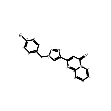 O=c1cc(-c2cn(Cc3ccc(Br)cc3)nn2)nc2ccccn12